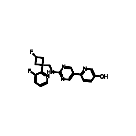 Oc1ccc(-c2cnc(NC[C@]3(c4ncccc4F)C[C@H](F)C3)nc2)nc1